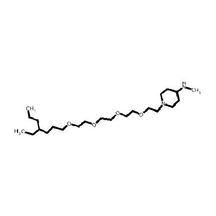 CCCC(CC)CCCOCCOCCOCCOCCN1CCC(NC)CC1